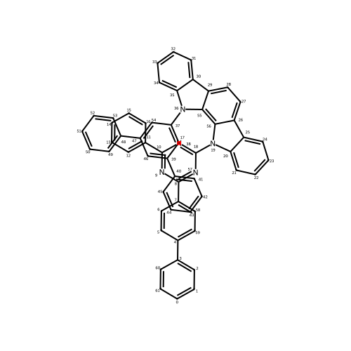 c1ccc(-c2ccc(-c3nc(-c4ccccc4)nc(-n4c5ccccc5c5ccc6c7ccccc7n(-c7cc(-c8ccccc8)cc(-c8ccccc8)c7)c6c54)n3)cc2)cc1